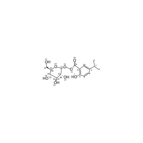 CC(C)c1ccc(O)c(C(=O)OOC2O[C@H](CO)[C@@H](O)[C@H](O)[C@H]2O)c1